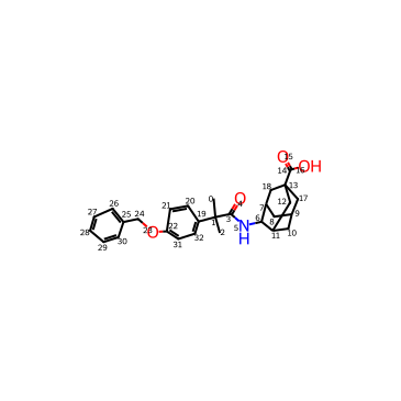 CC(C)(C(=O)NC1C2CC3CC1CC(C(=O)O)(C3)C2)c1ccc(OCc2ccccc2)cc1